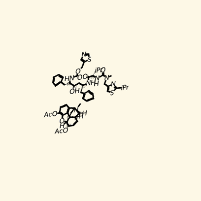 CC(=O)Oc1ccc2c3c1O[C@H]1[C@@H](OC(C)=O)C=C[C@H]4[C@@H](C2)N(C)CC[C@@]341.CC(C)c1nc(CN(C)C(=O)N[C@H](C(=O)N[C@@H](Cc2ccccc2)C[C@H](O)[C@H](Cc2ccccc2)NC(=O)OCc2cncs2)C(C)C)cs1